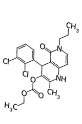 CCCn1ccc2c(c1=O)C(c1cccc(Cl)c1Cl)C(OC(=O)OCC)=C(C)N2